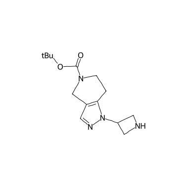 CC(C)(C)OC(=O)N1CCc2c(cnn2C2CNC2)C1